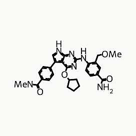 CNC(=O)c1ccc(-c2c[nH]c3nc(Nc4ccc(C(N)=O)cc4COC)nc(OC4CCCC4)c23)cc1